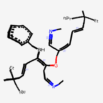 CCCCC(C)(/C=C/C(Bc1ccccc1)=C(\C=N/C)OC(/C=N\C)=C/C=C/C(C)(CC)CCC)CC